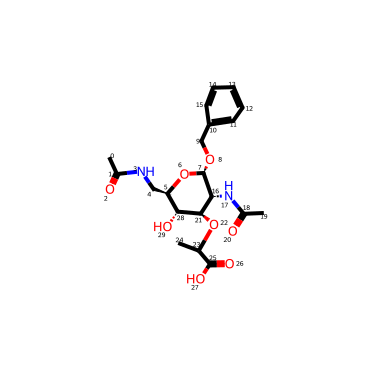 CC(=O)NC[C@H]1O[C@H](OCc2ccccc2)[C@H](NC(C)=O)[C@@H](OC(C)C(=O)O)[C@@H]1O